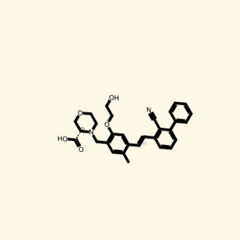 Cc1cc(CN2CCOC[C@H]2C(=O)O)c(OCCO)cc1/C=C/c1cccc(-c2ccccc2)c1C#N